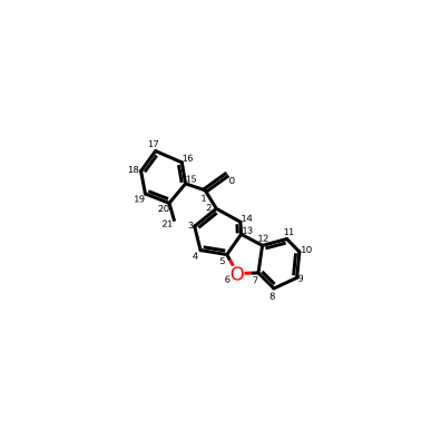 C=C(c1ccc2oc3ccccc3c2c1)c1ccccc1C